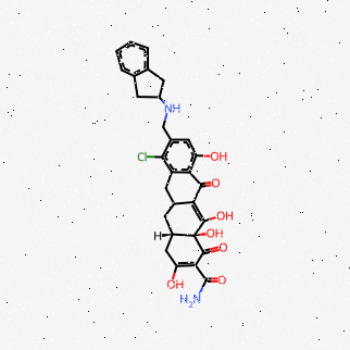 NC(=O)C1=C(O)C[C@@H]2CC3Cc4c(Cl)c(CNC5Cc6ccccc6C5)cc(O)c4C(=O)C3=C(O)[C@]2(O)C1=O